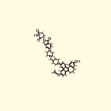 O=C1CC[C@@H](N2Cc3cc(N4CCN(CC5CCN(c6ccc(C7=C(c8ccc(OC9CC9)cc8)CCCc8cc(O)ccc87)cc6)CC5)CC4)ccc3C2=O)C(=O)N1